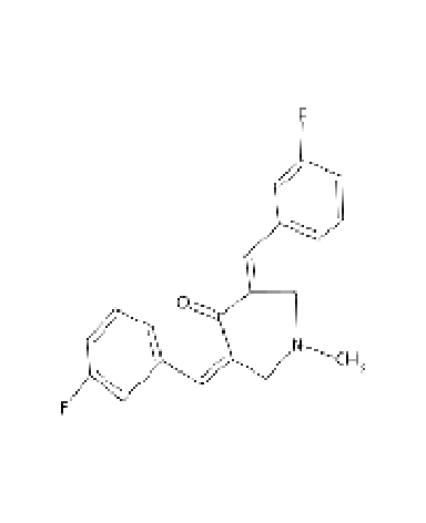 CN1CC(=Cc2cccc(F)c2)C(=O)C(=Cc2cccc(F)c2)C1